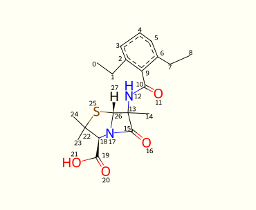 CCc1cccc(CC)c1C(=O)NC1(C)C(=O)N2[C@@H](C(=O)O)C(C)(C)S[C@@H]21